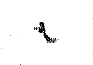 COc1cc2c(cc1OC)CN(CCCCCCN(Cc1ccccn1)Cc1ccccc1O)C2